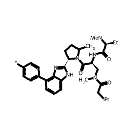 CC[C@H](NC)C(=O)N[C@@H](CN(C)C(=O)CC(C)C)C(=O)N1C(C)CC[C@H]1c1nc2c(-c3ccc(F)cc3)cccc2[nH]1